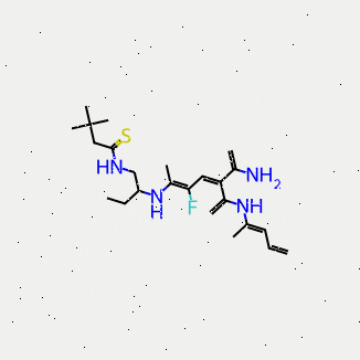 C=C/C=C(\C)NC(=C)/C(=C\C(F)=C(/C)NC(CC)CNC(=S)CC(C)(C)C)C(=C)N